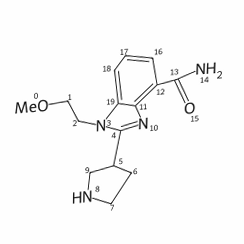 COCCn1c(C2CCNC2)nc2c(C(N)=O)cccc21